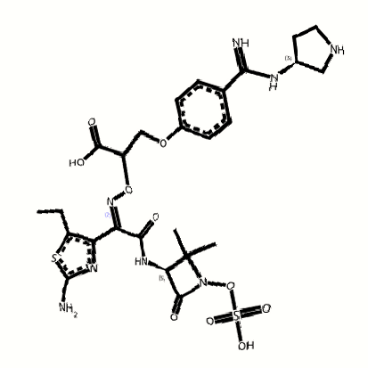 CCc1sc(N)nc1/C(=N/OC(COc1ccc(C(=N)N[C@H]2CCNC2)cc1)C(=O)O)C(=O)N[C@@H]1C(=O)N(OS(=O)(=O)O)C1(C)C